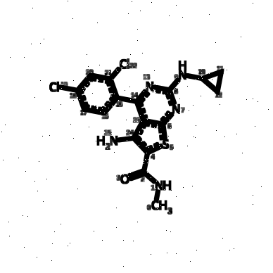 CNC(=O)c1sc2nc(NC3CC3)nc(-c3ccc(Cl)cc3Cl)c2c1N